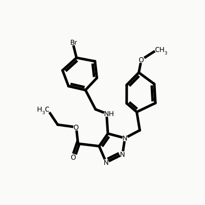 CCOC(=O)c1nnn(Cc2ccc(OC)cc2)c1NCc1ccc(Br)cc1